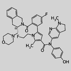 Cc1c(C(=O)N(c2ccc(O)cc2)c2cnc3c(c2)CCN3C)cc(-c2cc(F)ccc2C(=O)N2Cc3ccccc3C[C@H]2CN2CCOCC2)n1CCF